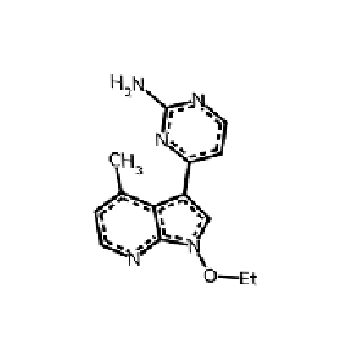 CCOn1cc(-c2ccnc(N)n2)c2c(C)ccnc21